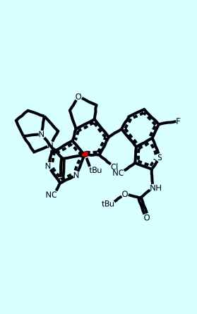 CC(C)(C)OC(=O)Nc1sc2c(F)ccc(-c3c4c(c5c(N6C7CCC6CN(C(=O)OC(C)(C)C)C7)nc(C#N)nc5c3Cl)COC4)c2c1C#N